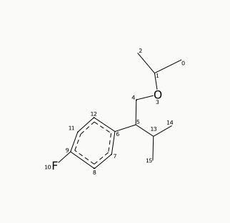 CC(C)OCC(c1ccc(F)cc1)C(C)C